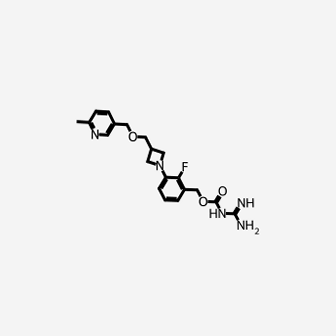 Cc1ccc(COCC2CN(c3cccc(COC(=O)NC(=N)N)c3F)C2)cn1